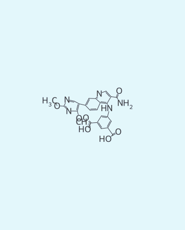 COc1ncc(-c2ccc3c(Nc4cc(C(=O)O)cc(C(=O)O)c4)c(C(N)=O)cnc3c2)c(OC)n1